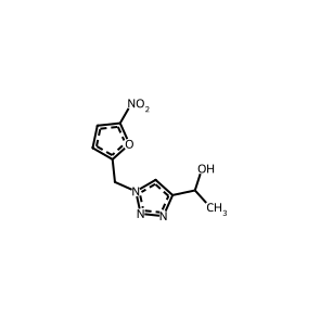 CC(O)c1cn(Cc2ccc([N+](=O)[O-])o2)nn1